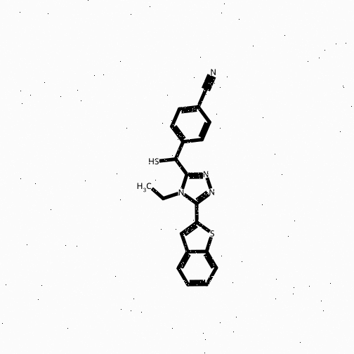 CCn1c(-c2cc3ccccc3s2)nnc1C(S)c1ccc(C#N)cc1